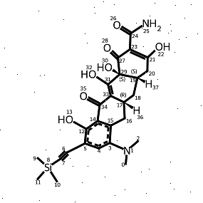 CN(C)c1cc(C#C[Si](C)(C)C)c(O)c2c1C[C@H]1C[C@H]3CC(O)=C(C(N)=O)C(=O)[C@@]3(O)C(O)=C1C2=O